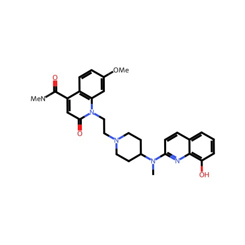 CNC(=O)c1cc(=O)n(CCN2CCC(N(C)c3ccc4cccc(O)c4n3)CC2)c2cc(OC)ccc12